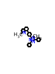 Cc1ccc2c(n1)C(C1=CCC(C3N=C(c4ccccc4)N=C(c4ccccc4)N3C)C=C1)CC=C2